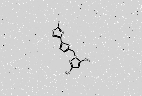 Cc1cc(C)n(Cc2ccc(-c3noc(C(F)(F)F)n3)s2)n1